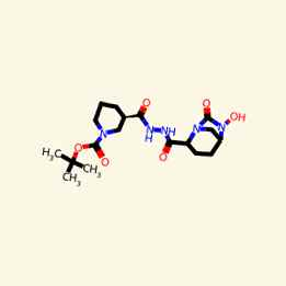 CC(C)(C)OC(=O)N1CCC[C@@H](C(=O)NNC(=O)C2CCC3CN2C(=O)N3O)C1